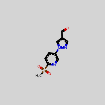 CS(=O)(=O)c1ccc(-n2cc(C=O)cn2)cn1